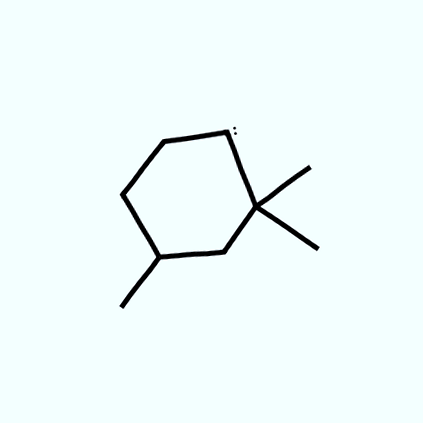 CC1CC[C]C(C)(C)C1